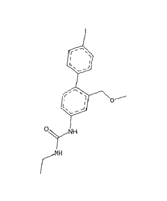 CCNC(=O)Nc1ccc(-c2ccc(I)cc2)c(COC)c1